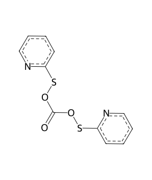 O=C(OSc1ccccn1)OSc1ccccn1